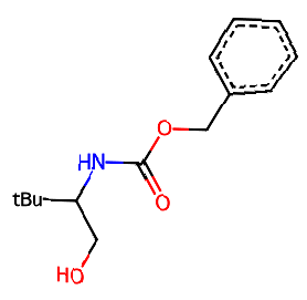 CC(C)(C)C(CO)NC(=O)OCc1ccccc1